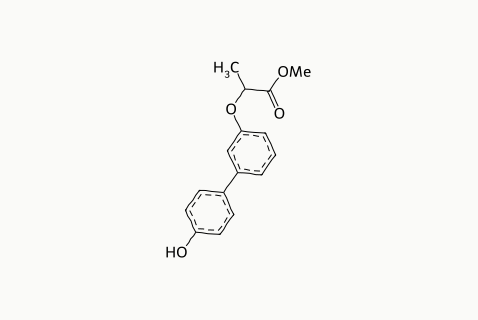 COC(=O)C(C)Oc1cccc(-c2ccc(O)cc2)c1